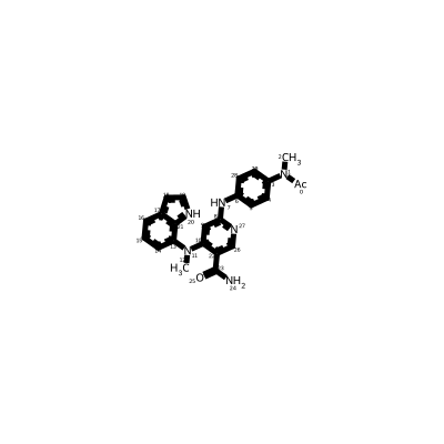 CC(=O)N(C)c1ccc(Nc2cc(N(C)c3cccc4cc[nH]c34)c(C(N)=O)cn2)cc1